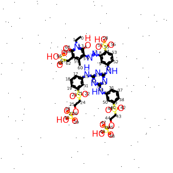 CCn1c(O)c(/N=N/c2cc(Nc3nc(Nc4cccc(S(=O)(=O)CCOS(=O)(=O)O)c4)nc(Nc4cccc(S(=O)(=O)CCOS(=O)(=O)O)c4)n3)ccc2S(=O)(=O)O)c(C)c(CS(=O)(=O)O)c1=O